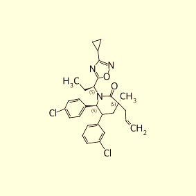 C=CC[C@@]1(C)CC(c2cccc(Cl)c2)[C@@H](c2ccc(Cl)cc2)N([C@@H](CC)c2nc(C3CC3)no2)C1=O